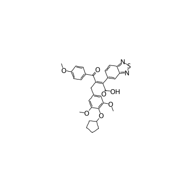 COc1ccc(C(=O)/C(Cc2cc(OC)c(OC3CCCC3)c(OC)c2)=C(/C(=O)O)c2ccc3nsnc3c2)cc1